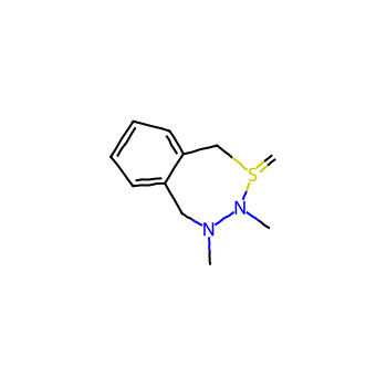 C=S1Cc2ccccc2CN(C)N1C